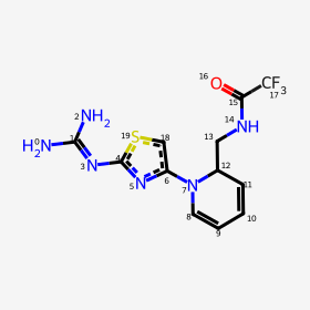 NC(N)=Nc1nc(N2C=CC=CC2CNC(=O)C(F)(F)F)cs1